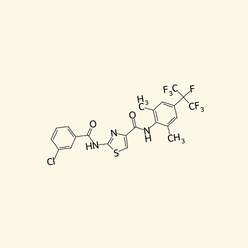 Cc1cc(C(F)(C(F)(F)F)C(F)(F)F)cc(C)c1NC(=O)c1csc(NC(=O)c2cccc(Cl)c2)n1